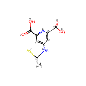 CC(S)Nc1cc(C(=O)O)nc(C(=O)O)c1